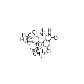 C[C@H]1CC[C@H]2C(C)(C)C(Cl)C(N)C[C@]23Oc2c(c(Cl)cc4c2CNC4=O)C[C@]13C